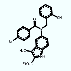 CCOC(=O)c1[nH]c2ccc(N(Cc3ccccc3C#N)C(=O)c3ccc(Br)cc3)cc2c1C